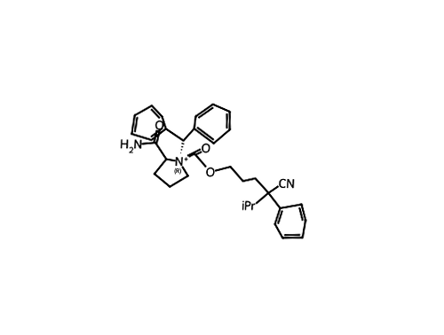 CC(C)C(C#N)(CCCOC(=O)[N@@+]1(C(c2ccccc2)c2ccccc2)CCCC1C(N)=O)c1ccccc1